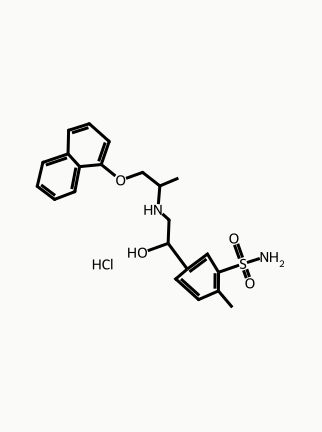 Cc1ccc(C(O)CNC(C)COc2cccc3ccccc23)cc1S(N)(=O)=O.Cl